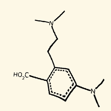 CN(C)CCc1cc(N(C)C)ccc1C(=O)O